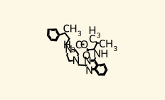 COC(=O)[C@@H](Nc1nc(CN2CCN(CCC(C)c3ccccc3)CC2)nc2ccccc12)C(C)C